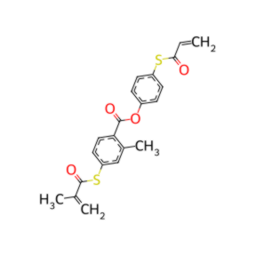 C=CC(=O)Sc1ccc(OC(=O)c2ccc(SC(=O)C(=C)C)cc2C)cc1